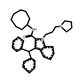 O=C(NC1CCCCCCC1)c1c(C(c2ccccc2)c2ccccc2)c2ccccc2n1CCCN1CCCC1